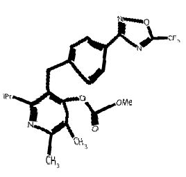 COC(=O)Oc1c(C)c(C)nc(C(C)C)c1Cc1ccc(-c2noc(C(F)(F)F)n2)cc1